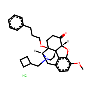 COc1ccc2c3c1O[C@H]1C(=O)CC[C@@]4(OCCCc5ccccc5)[C@@H](C2)N(CC2CCC2)CC[C@]314.Cl